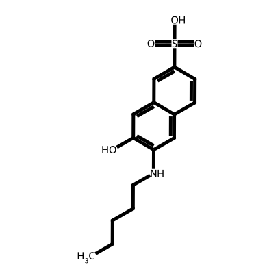 CCCCCNc1cc2ccc(S(=O)(=O)O)cc2cc1O